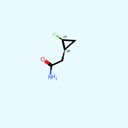 NC(=O)C[C@@H]1C[C@@H]1F